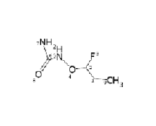 CCC(F)ONC(N)=O